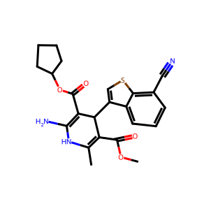 COC(=O)C1=C(C)NC(N)=C(C(=O)OC2CCCC2)C1c1csc2c(C#N)cccc12